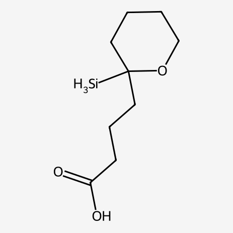 O=C(O)CCCC1([SiH3])CCCCO1